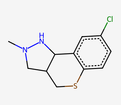 CN1CC2CSc3ccc(Cl)cc3C2N1